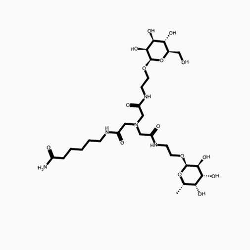 C[C@@H]1O[C@@H](OCCNC(=O)CN(CC(=O)NCCCCCC(N)=O)CC(=O)NCCO[C@@H]2O[C@H](CO)[C@@H](O)[C@H](O)[C@@H]2O)[C@@H](O)[C@H](O)[C@@H]1O